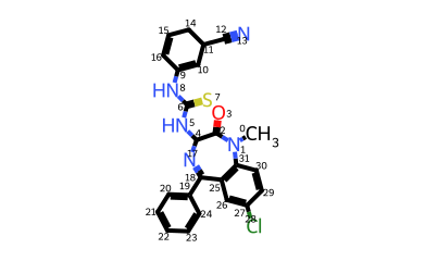 CN1C(=O)C(NC(=S)NC2=CC(C#N)CC=C2)N=C(c2ccccc2)c2cc(Cl)ccc21